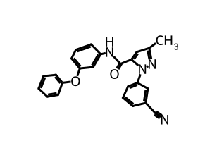 Cc1cc(C(=O)Nc2cccc(Oc3ccccc3)c2)n(-c2cccc(C#N)c2)n1